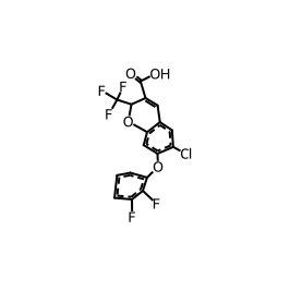 O=C(O)C1=Cc2cc(Cl)c(Oc3cccc(F)c3F)cc2OC1C(F)(F)F